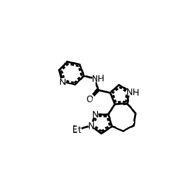 CCn1cc2c(n1)-c1c(C(=O)Nc3cccnc3)c[nH]c1CCC2